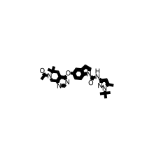 CC(=O)N1Cc2ncnc(Oc3ccc4c(ccn4C(=O)Nc4cc(C)n(C(C)(C)C)n4)c3)c2CC1(C)C